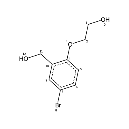 OCCOc1ccc(Br)cc1CO